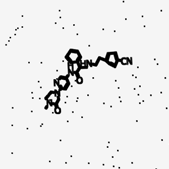 CN1CCN(c2ccc(NC(=O)C(CNCCc3ccc(C#N)cc3)c3ccccc3)cn2)CC1=O